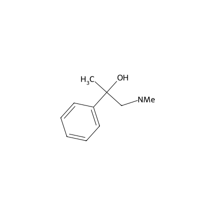 CNCC(C)(O)c1ccccc1